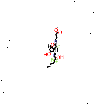 CCCCC(F)(F)[C@H](O)/C=C/[C@@H]1[C@H]2C(F)[C@@H](/C=C/CCC(=O)OC)O[C@@H]2C[C@H]1O